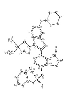 CC(C)(C)OC(=O)n1c(-c2ccc(OS(=O)(=O)Cc3ccccc3Cl)c3c2C(=O)NC3)cc2cc(CN3CCCCC3)ccc21